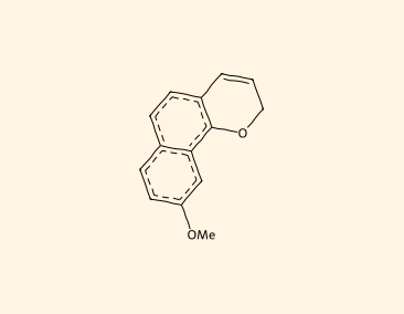 COc1ccc2ccc3c(c2c1)OCC=C3